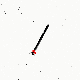 CC=C(C)C(=O)OCCCCCCCCCCCCCCCCCCCCCCCCCCCC